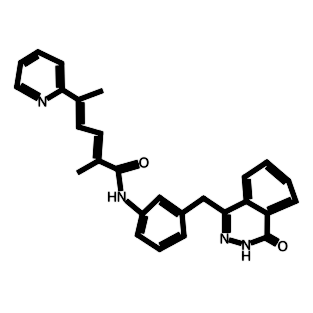 C/C(=C\C=C(/C)c1ccccn1)C(=O)Nc1cccc(Cc2n[nH]c(=O)c3ccccc23)c1